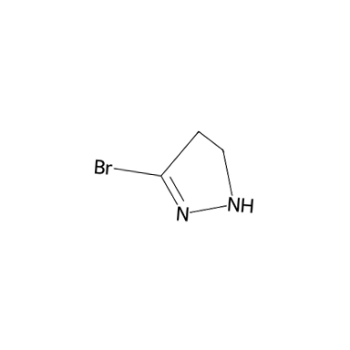 BrC1=NNCC1